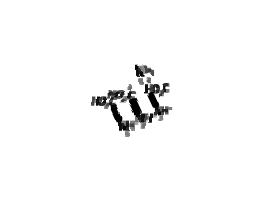 [N+3].[NH-]C(=O)O.[NH-]C(=O)O.[NH-]C(=O)O